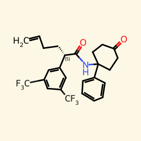 C=CCC[C@H](C(=O)NC1(c2ccccc2)CCC(=O)CC1)c1cc(C(F)(F)F)cc(C(F)(F)F)c1